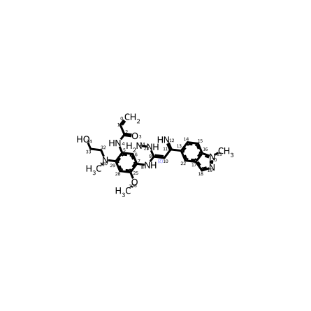 C=CC(=O)Nc1cc(N/C(=C/C(=N)c2ccc3c(cnn3C)c2)NN)c(OC)cc1N(C)CCO